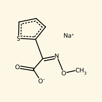 CON=C(C(=O)[O-])c1cccs1.[Na+]